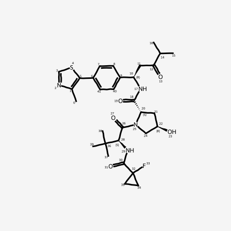 Cc1ncsc1-c1ccc([C@@H](CC(=O)C(C)C)NC(=O)[C@@H]2C[C@@H](O)CN2C(=O)[C@@H](NC(=O)C2(F)CC2)C(C)(C)C)cc1